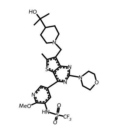 COc1ncc(-c2nc(N3CCOCC3)nc3c(CN4CCC(C(C)(C)O)CC4)c(C)sc23)cc1NS(=O)(=O)C(F)(F)F